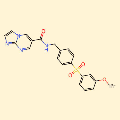 CC(C)Oc1cccc(S(=O)(=O)c2ccc(CNC(=O)c3cnc4nccn4c3)cc2)c1